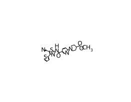 COC(=O)C1CCN(c2ccc(C(=O)Nc3nc(-c4cccs4)c(C#N)s3)cn2)CC1